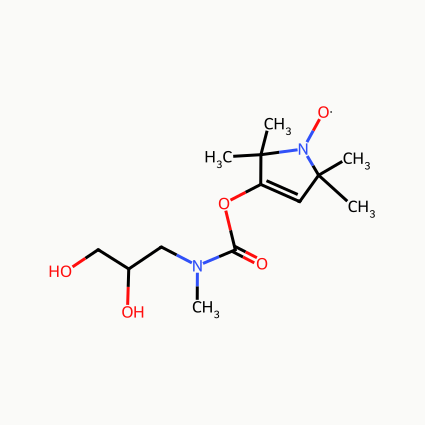 CN(CC(O)CO)C(=O)OC1=CC(C)(C)N([O])C1(C)C